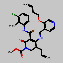 C=CCCOc1cnccc1CNC1=C(C(=S)Nc2cccc(F)c2OC)C(=O)N(C(=O)OC(C)(C)C)CC1CC=C